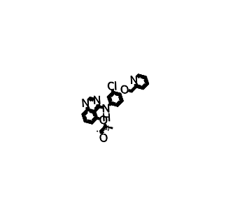 C[C@@H]([C]=O)Oc1cccc2ncnc(Nc3ccc(OCc4ccccn4)c(Cl)c3)c12